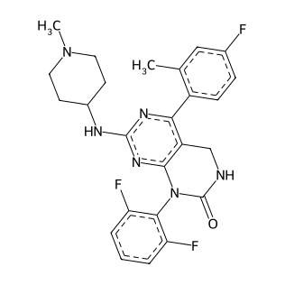 Cc1cc(F)ccc1-c1nc(NC2CCN(C)CC2)nc2c1CNC(=O)N2c1c(F)cccc1F